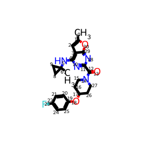 Cc1cc2c(NC3(C)CC3)nc(C(=O)N3CCC(Oc4ccc(F)cc4)CC3)nc2o1